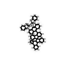 Cc1nc2ccccc2n1-c1cccc2c(-c3cccc4c3-c3ccccc3C43c4ccccc4-c4c3c3ccccc3c3ccccc43)c3cccc(-n4c(C)nc5ccccc54)c3cc12